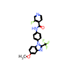 COc1ccc2c(c1)nc(C(F)(F)F)n2-c1ccc(NC(=O)c2ccncc2F)cc1